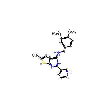 COc1ccc(CNc2nc(-c3cccnc3)nc3sc([N+](=O)[O-])cc23)cc1OC